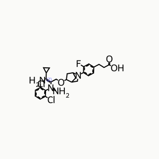 N/C(=C(/COC1CC2CC1CN2c1ccc(CCC(=O)O)cc1F)N(N)c1c(Cl)cccc1Cl)C1CC1